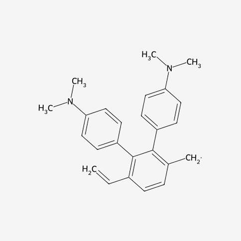 [CH2]c1ccc(C=C)c(-c2ccc(N(C)C)cc2)c1-c1ccc(N(C)C)cc1